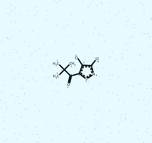 CC(C)(C)C(=O)c1snc(Cl)c1Cl